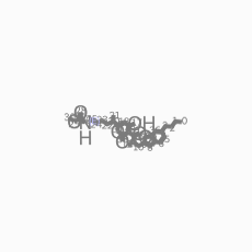 CCCCc1ccc2cc(CC(C)C(=O)c3c(O)cc(C(C)CC/C=C/NC(=O)OC)oc3=O)oc2c1